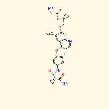 COc1cc2c(Oc3ccc(NC(=O)C4(C(N)=O)CC4)cc3F)ccnc2cc1OCC1(OC(=O)CN)CC1